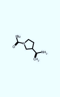 C=C(N)C1CCN(C(=O)C(C)(C)C)C1